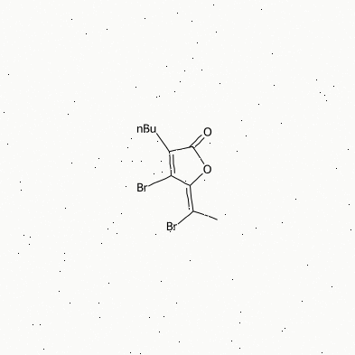 CCCCC1=C(Br)/C(=C(/C)Br)OC1=O